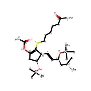 CCCC[C@@H](C)C[C@@H](/C=C/[C@@H]1C(SCCCCCC(=O)OC)=C(OC(=O)CCC)C[C@H]1O[Si](C)(C)C(C)(C)C)O[Si](C)(C)C(C)(C)C